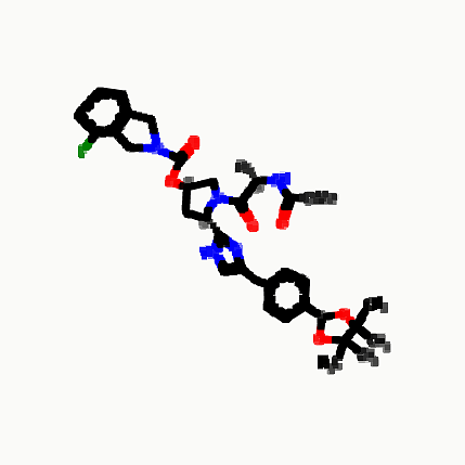 COC(=O)N[C@H](C(=O)N1C[C@H](OC(=O)N2Cc3cccc(F)c3C2)C[C@H]1c1nc(-c2ccc(B3OC(C)(C)C(C)(C)O3)cc2)c[nH]1)C(C)C